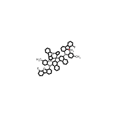 Cc1ccc(N(c2cc3c(c4ccccc24)-c2c(cc(N(c4ccc(C)cc4C)c4cccc5c4oc4c(F)cccc45)c4ccccc24)C32c3ccccc3-n3c4ccccc4c4cccc2c43)c2cccc3c2oc2c(F)cccc23)c(C)c1